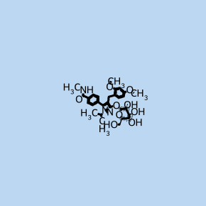 CNC(=O)c1ccc(-c2c(Cc3ccc(OC)cc3OC)c(O[C@@H]3O[C@H](CO)[C@@H](O)[C@H](O)[C@H]3O)nn2C(C)C)cc1